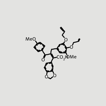 C=CCOc1cc(CC(C(=O)c2ccc(OC)cc2)=C(C(=O)O)c2ccc3c(c2)OCO3)cc(OC)c1OCC=C